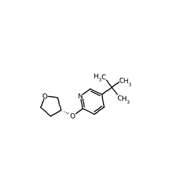 CC(C)(C)c1ccc(O[C@@H]2CCOC2)nc1